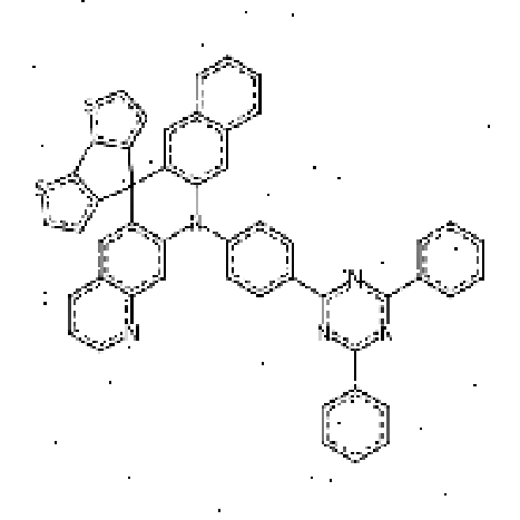 c1ccc(-c2nc(-c3ccccc3)nc(-c3ccc(N4c5cc6ccccc6cc5C5(c6cc7cccnc7cc64)c4ccsc4-c4sccc45)cc3)n2)cc1